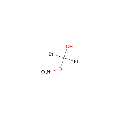 CCC(O)(CC)O[N+](=O)[O-]